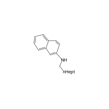 CCCCCCCCNc1ccc2ccccc2c1